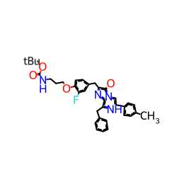 Cc1ccc(-c2cn3c(=O)c(Cc4ccc(OCCCNC(=O)OC(C)(C)C)c(F)c4)nc-3c(Cc3ccccc3)[nH]2)cc1